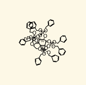 CCCC(=O)O[C@@]12CCCO[C@@H]1[C@H](OP(=O)(OCc1ccccc1)OCc1ccccc1)[C@@H](OP(=O)(OCc1ccccc1)OCc1ccccc1)[C@H](OP(=O)(OCc1ccccc1)OCc1ccccc1)[C@H]2OP(=O)(OCc1ccccc1)OCc1ccccc1